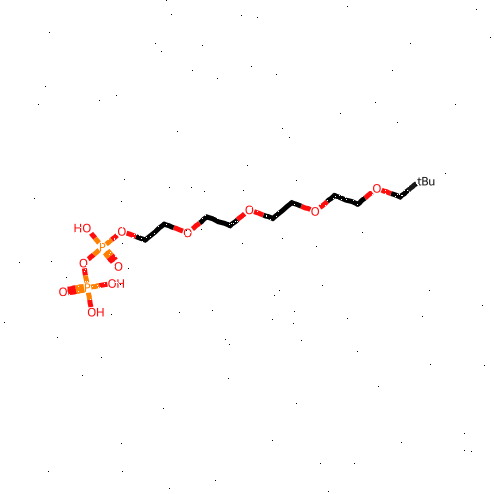 CC(C)(C)COCCOCCOCCOCCOP(=O)(O)OP(=O)(O)O